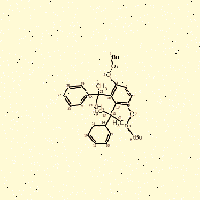 CC(C)(C)OOc1ccc(OOC(C)(C)C)c(C(C)(C)c2ccccc2)c1C(C)(C)c1ccccc1